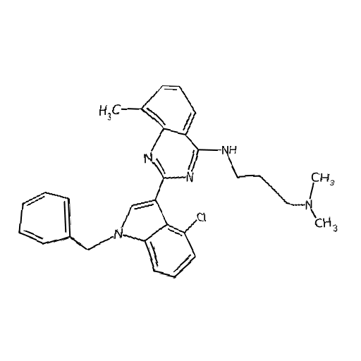 Cc1cccc2c(NCCCN(C)C)nc(-c3cn(Cc4ccccc4)c4cccc(Cl)c34)nc12